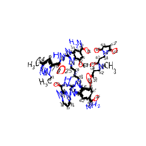 CCn1nc(C)cc1C(=O)Nc1nc2cc(C(N)=O)cc(OC)c2n1C/C=C/Cn1c(NC(=O)c2ncccn2)nc2cc(C(N)=O)cc(OCCCN(C)C(=O)CCN3C(=O)C=CC3=O)c21